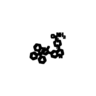 Cc1nn(C(c2ccccc2)(c2ccccc2)C2C=CC=CC2)cc1-c1ccc2nccc(N3CCN(C(N)=O)CC3)c2c1